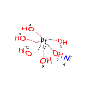 [N].[OH][Pt]([OH])([OH])([OH])([OH])[OH]